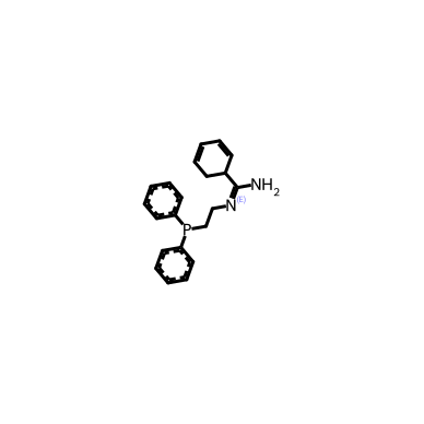 N/C(=N/CCP(c1ccccc1)c1ccccc1)C1C=CC=CC1